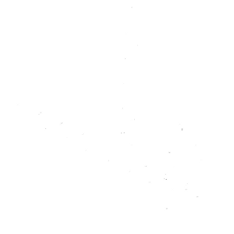 CCCCCCCCCCCCC(CCCCCCCCCC)CCCN1C(=O)C(=O)c2ccc(Br)cc21